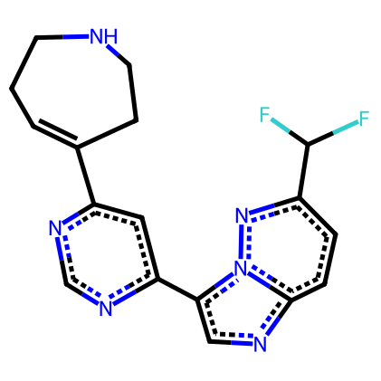 FC(F)c1ccc2ncc(-c3cc(C4=CCCNCC4)ncn3)n2n1